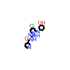 O=C(Nc1nc2cc(Cl)cc(NC3CCCC(O)C3)n2n1)c1cccnc1